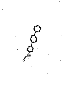 O=CNc1ccc(-c2ccc(-c3ccccc3)cc2)cc1